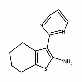 Nc1sc2c(c1-c1ncccn1)CCCC2